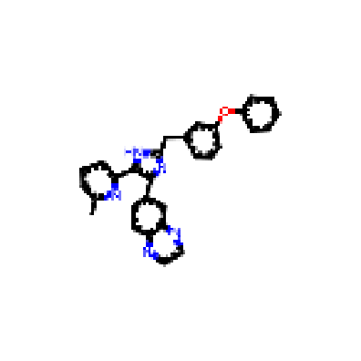 Cc1cccc(-c2[nH]c(Cc3cccc(Oc4ccccc4)c3)nc2-c2ccc3nccnc3c2)n1